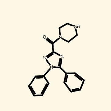 O=C(c1nc(-c2ccccc2)n(-c2ccccc2)n1)N1CCNCC1